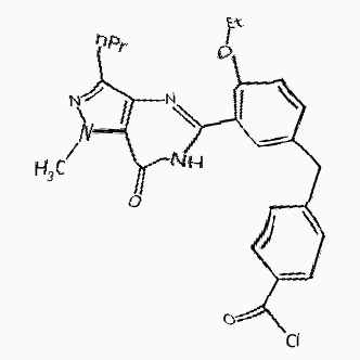 CCCc1nn(C)c2c(=O)[nH]c(-c3cc(Cc4ccc(C(=O)Cl)cc4)ccc3OCC)nc12